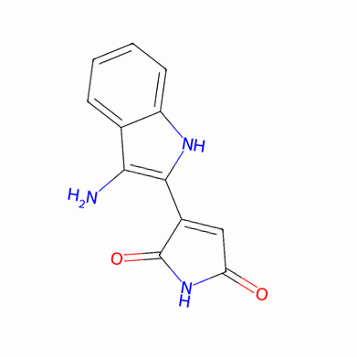 Nc1c(C2=CC(=O)NC2=O)[nH]c2ccccc12